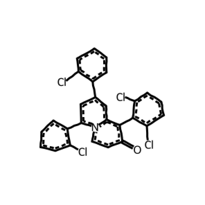 O=c1ccn2c(-c3ccccc3Cl)cc(-c3ccccc3Cl)cc2c1-c1c(Cl)cccc1Cl